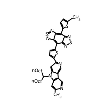 CCCCCCCCC(CCCCCCCC)n1c2cc(C)ncc2c2cnc(-c3ccc(-c4c5c(c(-c6ccc(C)s6)c6nsnc46)N=S=N5)s3)cc21